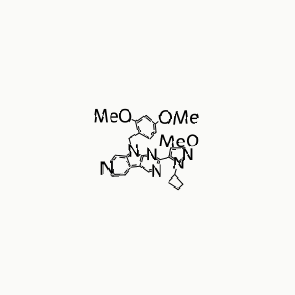 COc1ccc(Cn2c3cnccc3c3cnc(-c4c(OC)cnn4C4CCC4)nc32)c(OC)c1